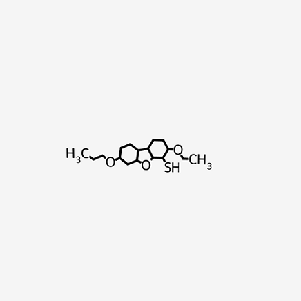 CCCOC1CCC2C(C1)OC1C(S)C(OCC)CCC21